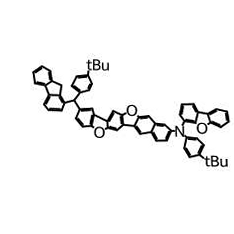 CC(C)(C)c1ccc(C(c2ccc3oc4cc5c(cc4c3c2)oc2cc3cc(N(c4ccc(C(C)(C)C)cc4)c4cccc6c4oc4ccccc46)ccc3cc25)c2cccc3c2Cc2ccccc2-3)cc1